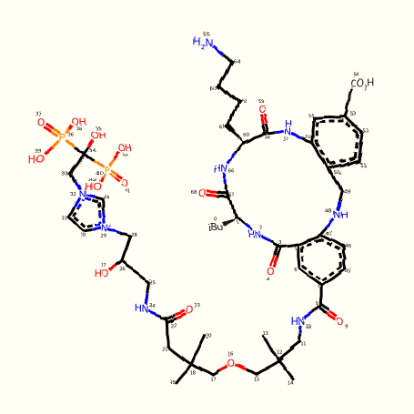 CCC(C)[C@@H]1NC(=O)c2cc(C(=O)NCC(C)(C)COCC(C)(C)CC(=O)NCC(O)C[n+]3ccn(CC(O)(P(=O)(O)O)P(=O)(O)O)c3)ccc2NCc2ccc(C(=O)O)cc2NC(=O)[C@H](CCCCN)NC1=O